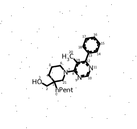 CCCCCC1(CO)CCCN(c2ncnc(-c3ccccc3)c2C)C1